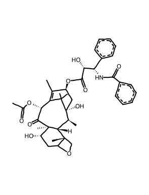 CC(=O)O[C@H]1C(=O)[C@]2(C)[C@@H](O)CC3OC[C@@]3(C)[C@H]2[C@H](C)[C@]2(O)C[C@H](OC(=O)[C@H](O)[C@@H](NC(=O)c3ccccc3)c3ccccc3)C(C)=C1C2(C)C